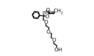 C=CC(=O)OC(CCCCCCCCC)(COCCOCCOCCO)c1ccccc1